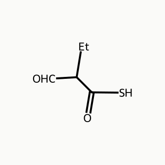 CCC(C=O)C(=O)S